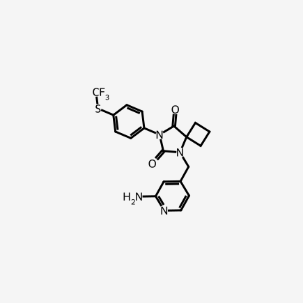 Nc1cc(CN2C(=O)N(c3ccc(SC(F)(F)F)cc3)C(=O)C23CCC3)ccn1